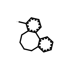 [CH2]c1cccc2c1CCCCc1ccccc1-2